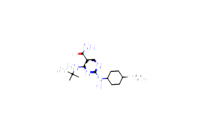 COC1CCC(Nc2ncc(C(N)=O)c(NC(C)(C)C(C)C)n2)CC1